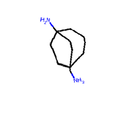 NC12CCCC(N)(CC1)CC2